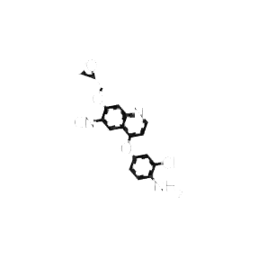 [C-]#[N+]c1cc2c(Oc3ccc(N)c(Cl)c3)ccnc2cc1OC[C@@H]1CO1